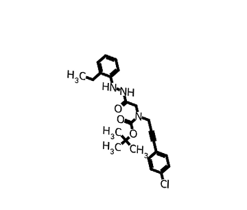 CCc1ccccc1NNC(=O)CN(CC#Cc1ccc(Cl)cc1)C(=O)OC(C)(C)C